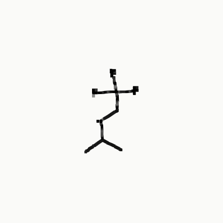 CC(C)[CH]CC(F)(F)F